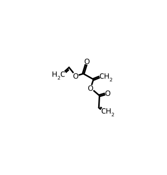 C=COC(=O)C(=C)OC(=O)C=C